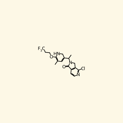 CC1=C(OCCC(F)(F)F)NCC(C(C)N2Cc3c(ccnc3Cl)C2=O)=C1